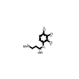 CCC[C@H](CCNC)Oc1ccc(Cl)c(Cl)c1Cl